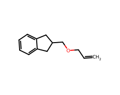 C=CCOCC1Cc2ccccc2C1